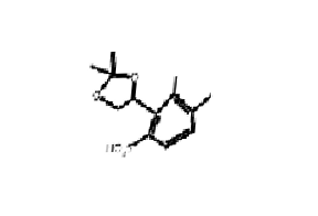 Cc1ccc(S(=O)(=O)O)c(C2COC(C)(C)O2)c1C